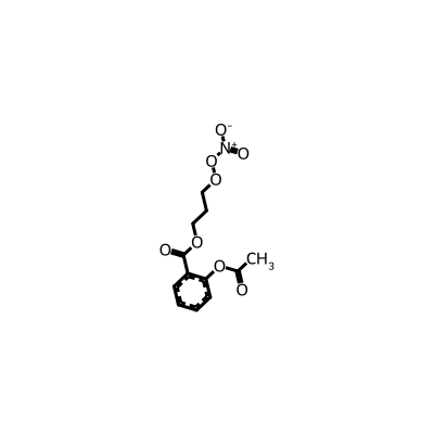 CC(=O)Oc1ccccc1C(=O)OCCCOO[N+](=O)[O-]